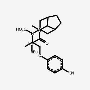 CCCCNC(=O)N(C)C1C2CCC1CN(N(C(=O)O)C(C)COc1ccc(C#N)cc1)C2